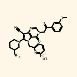 COc1cccc(C(=O)Cn2cnc3c(C#N)c(N4CCCC(N)C4)n(Cc4ccccn4)c3c2=O)c1.Cl.Cl